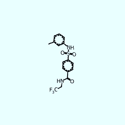 Cc1cccc(NS(=O)(=O)c2ccc(C(=O)NCC(F)(F)F)cc2)c1